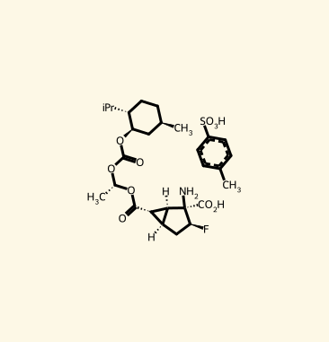 CC(C)[C@@H]1CC[C@@H](C)C[C@H]1OC(=O)O[C@@H](C)OC(=O)[C@H]1[C@@H]2C[C@H](F)[C@@](N)(C(=O)O)[C@@H]21.Cc1ccc(S(=O)(=O)O)cc1